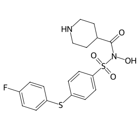 O=C(C1CCNCC1)N(O)S(=O)(=O)c1ccc(Sc2ccc(F)cc2)cc1